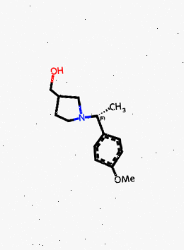 COc1ccc([C@@H](C)N2CCC(CO)C2)cc1